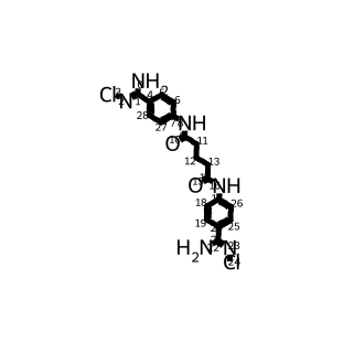 N/C(=N\Cl)c1ccc(NC(=O)CCCC(=O)Nc2ccc(/C(N)=N/Cl)cc2)cc1